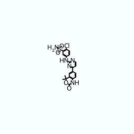 CC1(C)OC(=O)Nc2ccc(-c3ccnc(Nc4ccc(Cl)c(S(N)(=O)=O)c4)n3)cc21